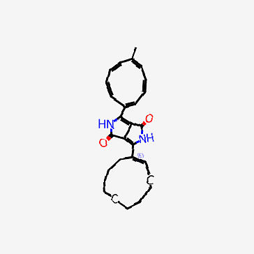 Cc1ccccc(C2=C3C(=O)NC(/C4=C/CCCCCCCCC4)=C3C(=O)N2)cccc1